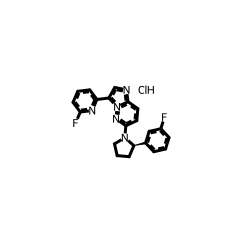 Cl.Fc1cccc([C@H]2CCCN2c2ccc3ncc(-c4cccc(F)n4)n3n2)c1